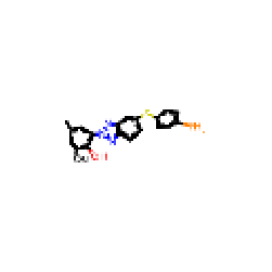 Cc1cc(-n2nc3ccc(Sc4ccc(P)cc4)cc3n2)c(O)c(C(C)(C)C)c1